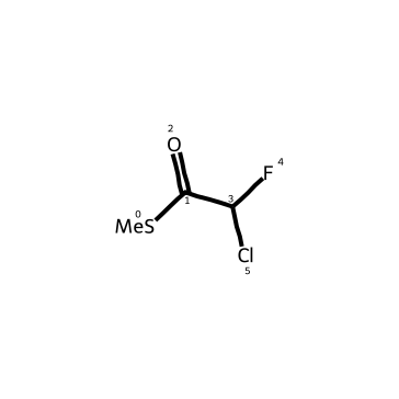 CSC(=O)C(F)Cl